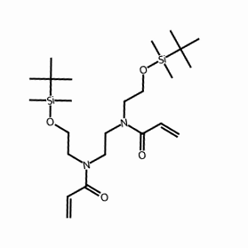 C=CC(=O)N(CCO[Si](C)(C)C(C)(C)C)CCN(CCO[Si](C)(C)C(C)(C)C)C(=O)C=C